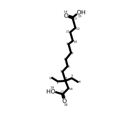 CCC(CC)(CCCCCCCCC(=O)O)CC(=O)O